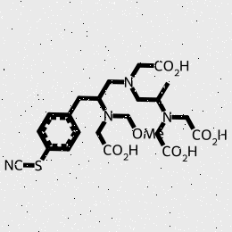 COCN(CC(=O)O)C(Cc1ccc(SC#N)cc1)CN(CC(=O)O)CC(C)N(CC(=O)O)CC(=O)O